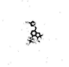 BC(F)(P)S(=O)(=O)c1ccc(Cn2cc(C#N)cn2)c2c1C(OI)C(F)(F)C2